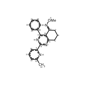 CON=C1CCCc2nc(-c3cccc(C)n3)nc(-c3ccccc3)c21